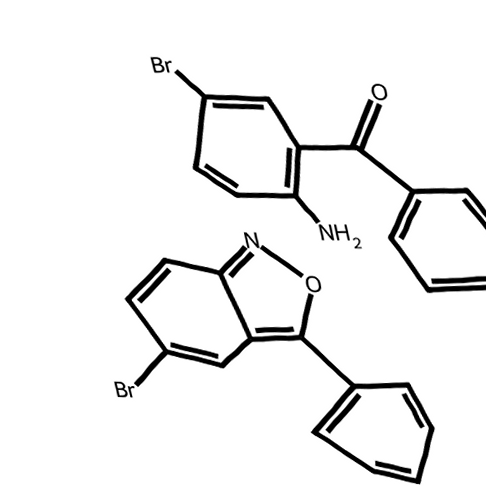 Brc1ccc2noc(-c3ccccc3)c2c1.Nc1ccc(Br)cc1C(=O)c1ccccc1